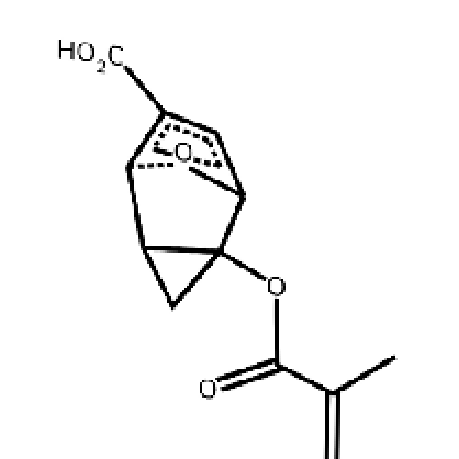 C=C(C)C(=O)OC12CC1c1oc2cc1C(=O)O